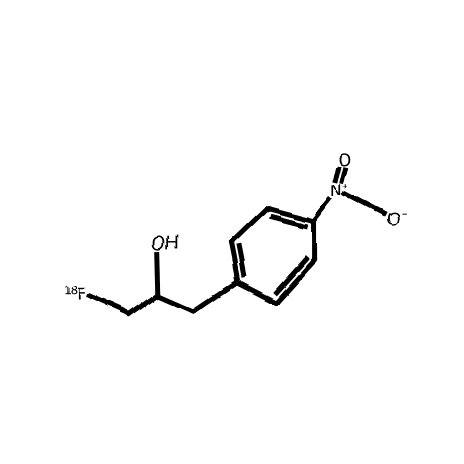 O=[N+]([O-])c1ccc(CC(O)C[18F])cc1